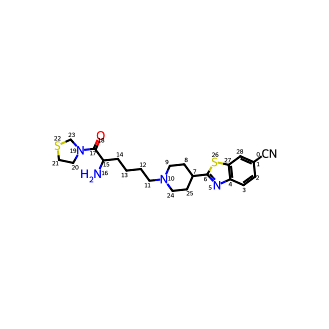 N#Cc1ccc2nc(C3CCN(CCCCC(N)C(=O)N4CCSC4)CC3)sc2c1